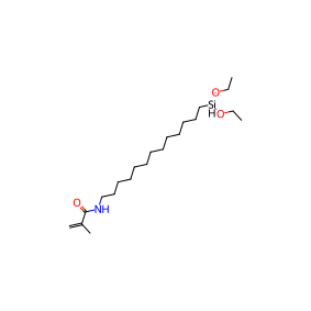 C=C(C)C(=O)NCCCCCCCCCCCCC[SiH](OCC)OCC